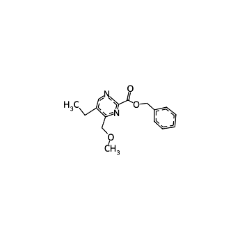 CCc1cnc(C(=O)OCc2ccccc2)nc1COC